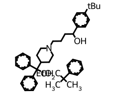 CC(C)(C)c1ccc(C(O)CCCN2CCC(C(O)(c3ccccc3)c3ccccc3)CC2)cc1.CCOC(=O)C(C)(C)c1ccccc1